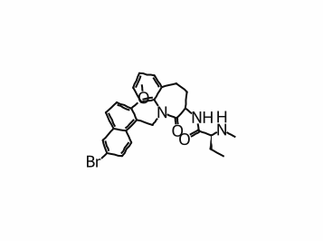 CC[C@H](NC)C(=O)NC1CCc2ccccc2N(Cc2c(OC)ccc3cc(Br)ccc23)C1=O